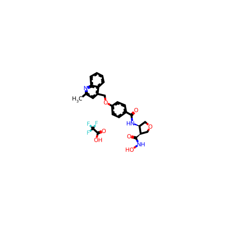 Cc1cc(COc2ccc(C(=O)N[C@H]3COC[C@H]3C(=O)NO)cc2)c2ccccc2n1.O=C(O)C(F)(F)F